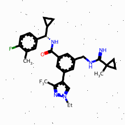 CCn1cc(-c2cc(CNC(=N)C3(C)CC3)cc(C(=O)N[C@H](c3ccc(F)c(C)c3)C3CC3)c2)c(C(F)(F)F)n1